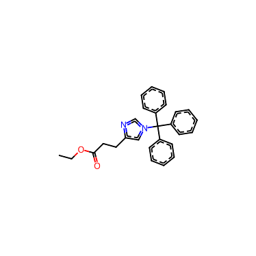 CCOC(=O)CCc1cn(C(c2ccccc2)(c2ccccc2)c2ccccc2)cn1